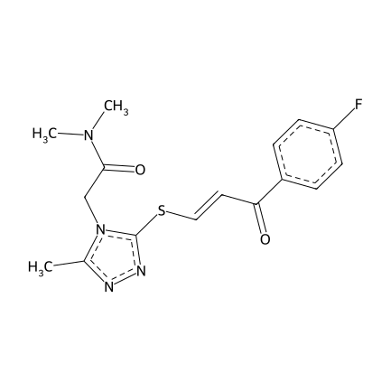 Cc1nnc(S/C=C/C(=O)c2ccc(F)cc2)n1CC(=O)N(C)C